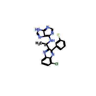 C[C@@H](Nc1ncnc2[nH]cnc12)c1nc2cccc(Cl)c2nc1-c1cccc(F)c1